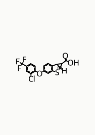 O=C(O)C1C2c3ccc(Oc4ccc(C(F)(F)F)cc4Cl)cc3S[C@@H]12